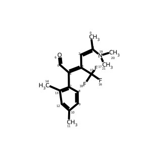 C/C(=C/C(=C(\C=O)c1ccc(C)cc1C)C(F)(F)F)N(C)C